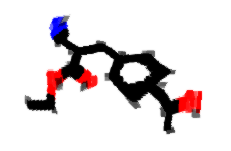 CCOC(=O)/C(C#N)=C\c1ccc(C(C)O)cc1